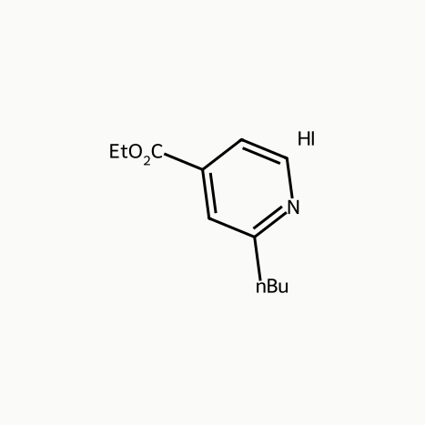 CCCCc1cc(C(=O)OCC)ccn1.I